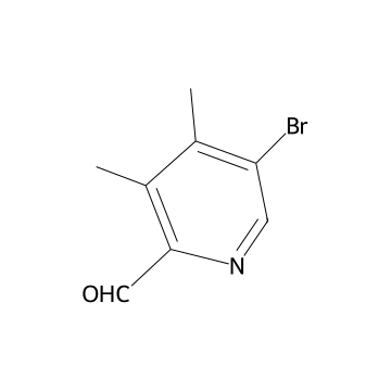 Cc1c(Br)cnc(C=O)c1C